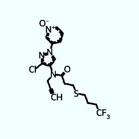 C#CCN(C(=O)CCSCCCC(F)(F)F)c1cn(-c2ccc[n+]([O-])c2)nc1Cl